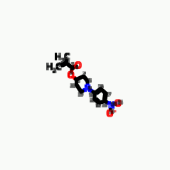 C=C(C)C(=O)OC1CCN(c2ccc([N+](=O)[O-])cc2)CC1